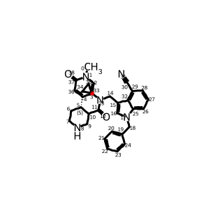 Cn1ccc([C@H]2CCNCC2C(=O)N(Cc2cn(Cc3ccccc3)c3cccc(C#N)c23)C2CC2)cc1=O